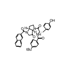 CC(C)(C)c1ccc(C(=O)N[C@@H](Cc2ccc(O)cc2)C(=O)N2CC[C@@H]3[C@H]2C(=O)CN3C(=O)c2ccc3ccccc3c2)cc1